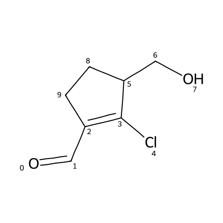 O=CC1=C(Cl)C(CO)CC1